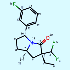 CC[C@@]1(C(F)F)C[C@H]2CC[C@H](c3cccc(F)c3)N2C1=O